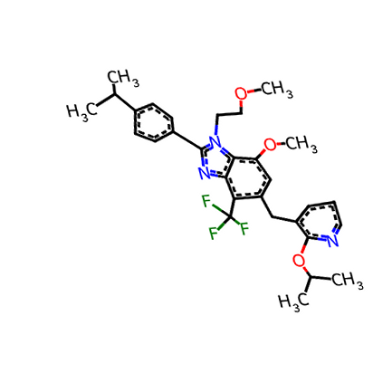 COCCn1c(-c2ccc(C(C)C)cc2)nc2c(C(F)(F)F)c(Cc3cccnc3OC(C)C)cc(OC)c21